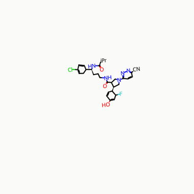 CC(C)C(=O)N[C@@H](CCCNC(=O)C1CN(c2ccc(C#N)nn2)C[C@H]1C1C=CC(O)=CC1F)C1C=CC(Cl)=CC1